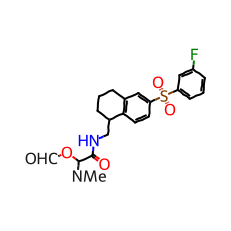 CNC(OC=O)C(=O)NCC1CCCc2cc(S(=O)(=O)c3cccc(F)c3)ccc21